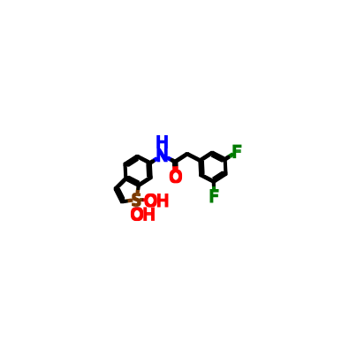 O=C(Cc1cc(F)cc(F)c1)Nc1ccc2c(c1)S(O)(O)C=C2